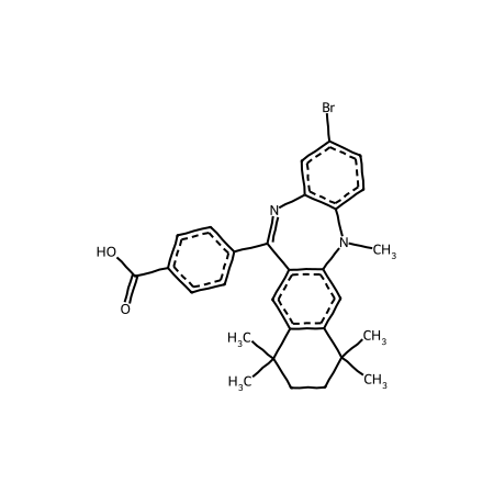 CN1c2ccc(Br)cc2N=C(c2ccc(C(=O)O)cc2)c2cc3c(cc21)C(C)(C)CCC3(C)C